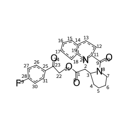 O=C(CC1CCCCN1C(=O)c1ccc2ccccc2n1)OCC(=O)c1ccc(F)cc1